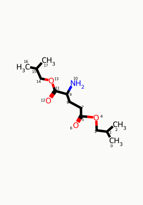 CC(C)COC(=O)CCC(N)C(=O)OCC(C)C